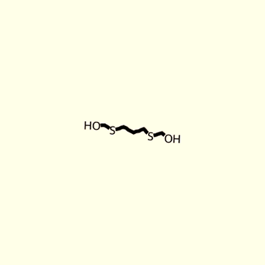 OCSCCCSCO